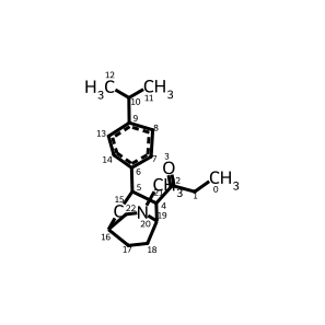 CCC(=O)C1C(c2ccc(C(C)C)cc2)CC2CCC1N(C)C2